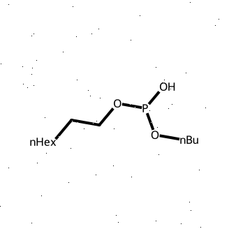 CCCCCCCCOP(O)OCCCC